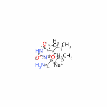 CCCC(C)C1(CC)C(=O)N=C([O-])NC1=O.CCCCCCN.[Na+]